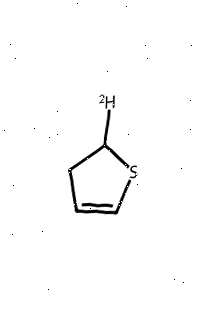 [2H]C1CC=CS1